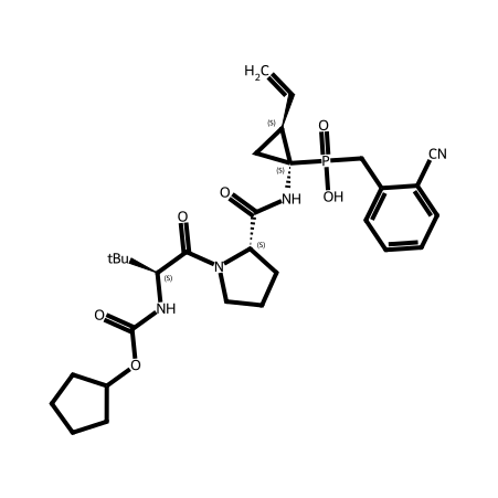 C=C[C@@H]1C[C@]1(NC(=O)[C@@H]1CCCN1C(=O)[C@@H](NC(=O)OC1CCCC1)C(C)(C)C)P(=O)(O)Cc1ccccc1C#N